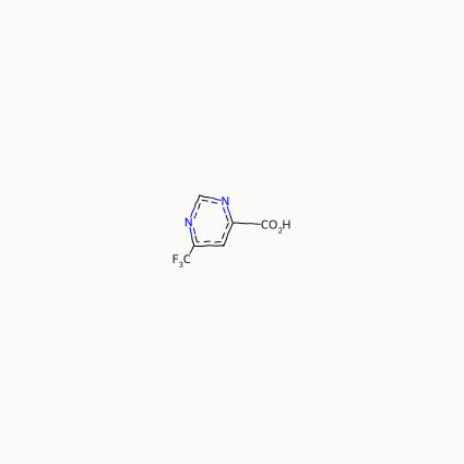 O=C(O)c1cc(C(F)(F)F)ncn1